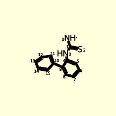 [NH]C(=S)Nc1ccccc1-c1ccccc1